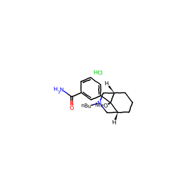 CCCCN1C[C@H]2CCC[C@@H](C1)[C@@]2(OC)c1cccc(C(N)=O)c1.Cl